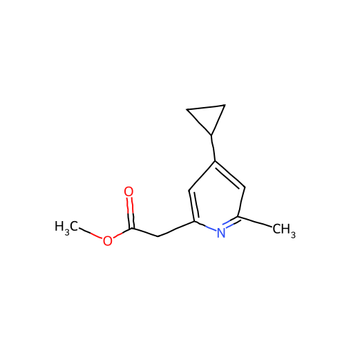 COC(=O)Cc1cc(C2CC2)cc(C)n1